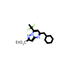 CCOC(=O)c1cc2nc(CC3CCCCC3)cc(C(C)(F)F)n2n1